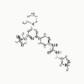 C[C@H]1COCCN1c1cc(C(C)(C)S(C)(=O)=O)nc(-c2ccc(NC(=O)NCc3cnn(C)c3)nc2)n1